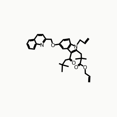 C=CCOC(=O)C(C)(C)Cc1c(C(=O)CC(C)(C)C)c2cc(OCc3ccc4ccccc4n3)ccc2n1CC=C